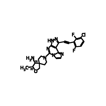 C[C@@H]1OCC2(CCN(c3nc4[nH]nc(C#Cc5c(F)ccc(Cl)c5F)c4c4nccn34)CC2)[C@@H]1N